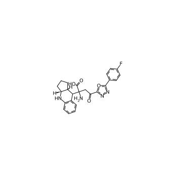 NC(CC(=O)c1nnc(-c2ccc(F)cc2)o1)(C(=O)O)C1c2ccccc2N[C@@H]2CCC[C@H]12